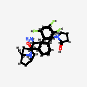 NC(Cc1cc(F)c(F)cc1F)C1CC2CC[C@H](C1)N2C(=O)c1cccc(CN2CCCC2=O)c1